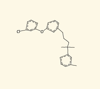 Cc1cccc(C(C)(C)CCCc2cccc(Oc3cccc(Cl)c3)c2)c1